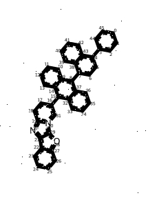 c1ccc(-c2ccc(-c3c4ccccc4c(-c4ccc5nc6c7ccccc7oc6n5c4)c4ccccc34)c3ccccc23)cc1